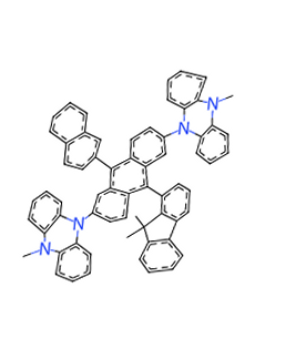 CN1c2ccccc2N(c2ccc3c(-c4cccc5c4C(C)(C)c4ccccc4-5)c4cc(N5c6ccccc6N(C)c6ccccc65)ccc4c(-c4ccc5ccccc5c4)c3c2)c2ccccc21